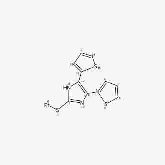 CCSc1nc(-c2cccs2)c(-c2cccs2)[nH]1